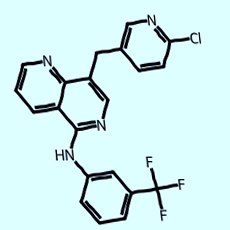 FC(F)(F)c1cccc(Nc2ncc(Cc3ccc(Cl)nc3)c3ncccc23)c1